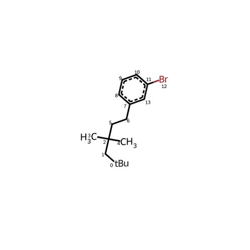 CC(C)(C)CC(C)(C)CCc1cccc(Br)c1